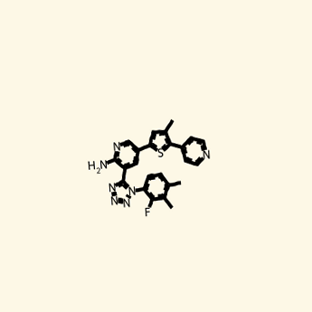 Cc1cc(-c2cnc(N)c(-c3nnnn3-c3ccc(C)c(C)c3F)c2)sc1-c1ccncc1